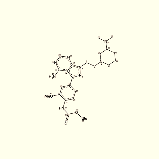 COc1cc(-c2nn(CCN3CCCC(N(C)C)C3)c3ncnc(N)c23)ccc1NC(=O)OC(C)(C)C